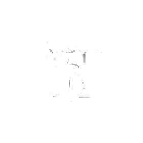 COCCN(C[C@H]1C[C@@H]1C)c1cc(CBr)cc(N(C)S(C)(=O)=O)n1